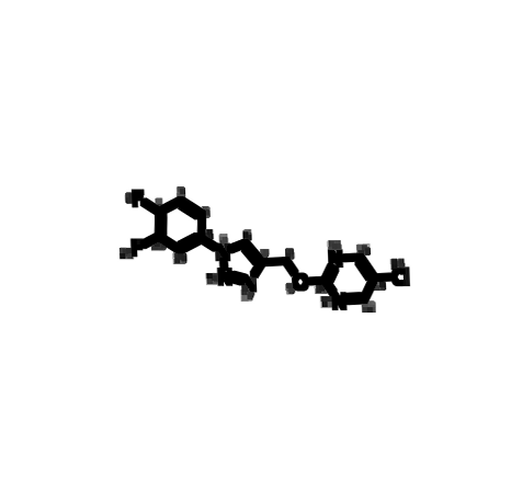 Fc1ccc(-n2cc(COc3ncc(Cl)cn3)nn2)cc1F